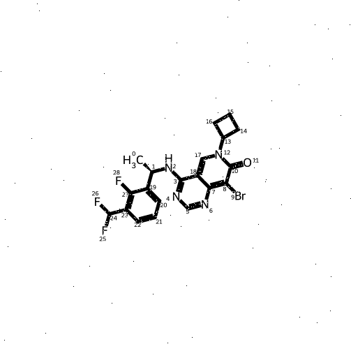 C[C@@H](Nc1ncnc2c(Br)c(=O)n(C3CCC3)cc12)c1cccc(C(F)F)c1F